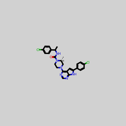 CC(NC(=O)N1CCN(c2ncnc3[nH]c(-c4ccc(Cl)cc4)cc23)C[C@H]1C)c1ccc(Cl)cc1